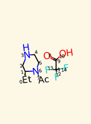 CC[C@H]1CNCCN1C(C)=O.O=C(O)C(F)(F)F